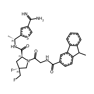 CC1c2ccccc2-c2cc(C(=O)NCC(=O)N3C[C@@](F)(CF)C[C@H]3C(=O)N[C@H](C)c3cc(C(=N)N)cs3)ccc21